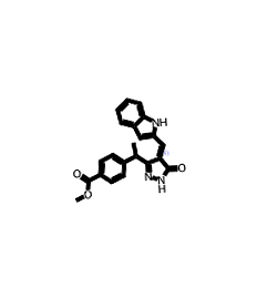 COC(=O)c1ccc(C(C)C2=NNC(=O)/C2=C/c2cc3ccccc3[nH]2)cc1